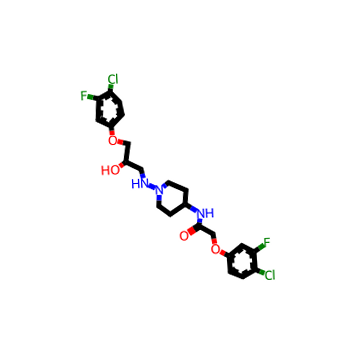 O=C(COc1ccc(Cl)c(F)c1)NC1CCN(NCC(O)COc2ccc(Cl)c(F)c2)CC1